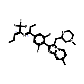 CC/C=C(\N=C(/CC)c1cc(F)c(-c2nc3cc(C)ccn3c2CC2CN(C)CCO2)c(F)c1)C(F)(F)F